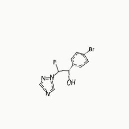 OC(c1ccc(Br)cc1)C(F)n1cncn1